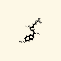 COc1ccc2cc([C@H](C)c3nc(C)c(CCO[N+](=O)[O-])s3)ccc2c1